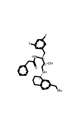 CC(C)(C)Cc1ccc2c(c1)[C@@H](NC[C@@H](O)[C@H](Cc1cc(F)cc(F)c1)NC(=O)Cc1ccccc1)CCC2